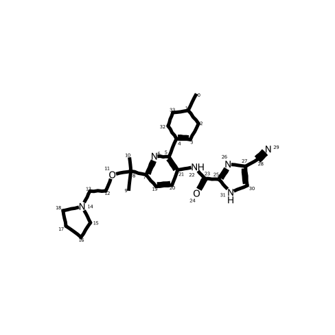 CC1CC=C(c2nc(C(C)(C)OCCN3CCCC3)ccc2NC(=O)c2nc(C#N)c[nH]2)CC1